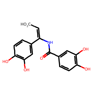 O=C(O)C=C(NC(=O)c1ccc(O)c(O)c1)c1ccc(O)c(O)c1